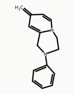 C=C1C=CN2CCN(c3ccccc3)CC2=C1